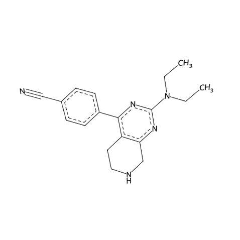 CCN(CC)c1nc2c(c(-c3ccc(C#N)cc3)n1)CCNC2